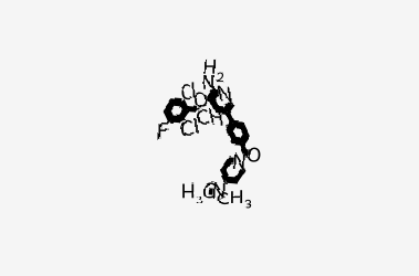 CC(Oc1cc(-c2ccc(C(=O)N3CCC(N(C)C)CC3)cc2)cnc1N)c1c(Cl)ccc(F)c1Cl